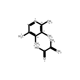 C=C(C)C(=O)O.Cc1cnc(C)c(C)c1C